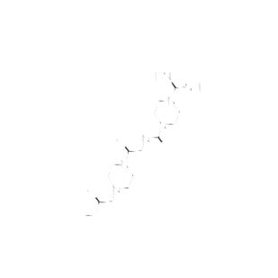 COC(=O)CN1CCN(C(=O)CNC(=O)N2CCN(C(=N)N)CC2)CC1